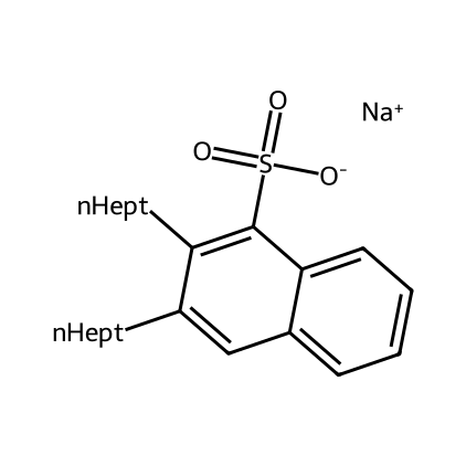 CCCCCCCc1cc2ccccc2c(S(=O)(=O)[O-])c1CCCCCCC.[Na+]